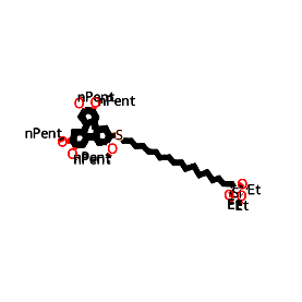 CCCCCOc1cc2c3cc(OCCCCC)c(OCCCCC)cc3c3cc(SCCCCCCCCCCCCCCCCCC[Si](OCC)(OCC)OCC)c(OCCCCC)cc3c2cc1OCCCCC